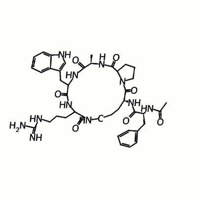 CC(=O)N[C@@H](Cc1ccccc1)C(=O)N[C@H]1CCCNC(=O)C(CCCNC(=N)N)NC(=O)C(Cc2c[nH]c3ccccc23)NC(=O)[C@@H](C)NC(=O)C2CCCN2C1=O